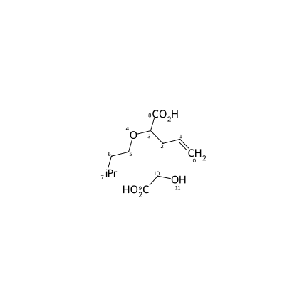 C=CCC(OCCC(C)C)C(=O)O.O=C(O)CO